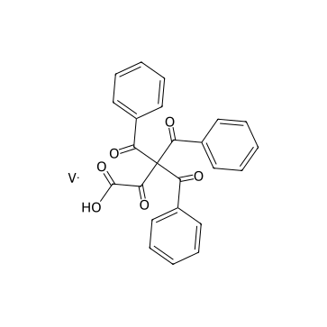 O=C(O)C(=O)C(C(=O)c1ccccc1)(C(=O)c1ccccc1)C(=O)c1ccccc1.[V]